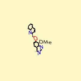 COc1c(OCc2ccc3ccccc3n2)ccc2[c]ncnc12